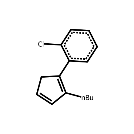 CCCCC1=C(c2ccccc2Cl)CC=C1